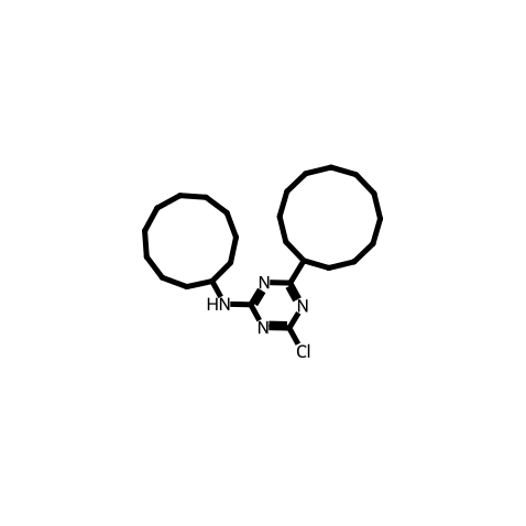 Clc1nc(NC2CCCCCCCCCC2)nc(C2CCCCCCCCCCC2)n1